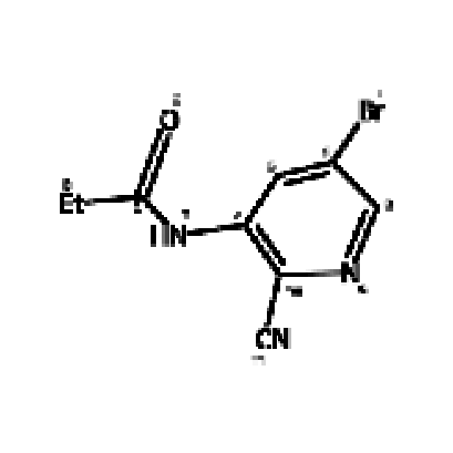 CCC(=O)Nc1cc(Br)cnc1C#N